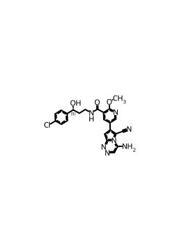 COc1ncc(-c2cc3nncc(N)n3c2C#N)cc1C(=O)NCC[C@H](O)c1ccc(Cl)cc1